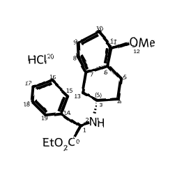 CCOC(=O)C(N[C@H]1CCc2c(cccc2OC)C1)c1ccccc1.Cl